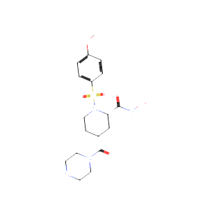 COc1ccc(S(=O)(=O)N2CC[C@@H](C(=O)N3CCNCC3)C[C@@H]2C(=O)NO)cc1.Cl